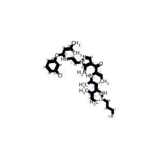 C/C=C(\NC(C)/C=C(NSCCCF)\C(C)=C/C)C(=O)c1cnn(/C=C/NC(C=C(C)C)Oc2cccc(Cl)c2)c1N